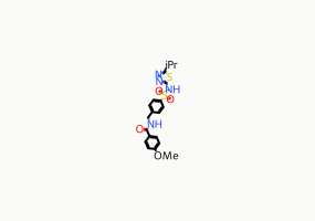 COc1ccc(C(=O)NCc2ccc(S(=O)(=O)Nc3nnc(C(C)C)s3)cc2)cc1